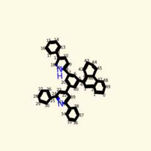 C1=CC2=CC(c3cc(C4=CC=C(c5ccccc5)CN4)cc(-c4cc(-c5ccccc5)nc(-c5ccccc5)c4)c3)=C3C=CC=CC3C2C=C1